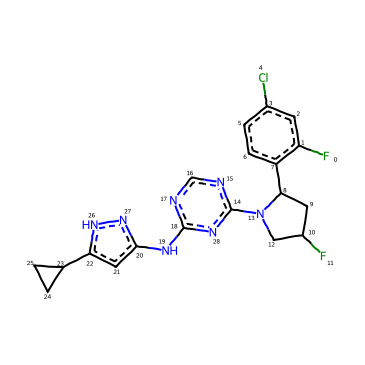 Fc1cc(Cl)ccc1C1CC(F)CN1c1ncnc(Nc2cc(C3CC3)[nH]n2)n1